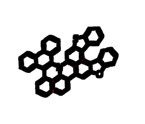 c1ccc(-c2c(N(c3ccc4c(c3)sc3ccccc34)c3ccccc3-c3ccc4c(c3)oc3ccccc34)c3ccccc3c3ccccc23)cc1